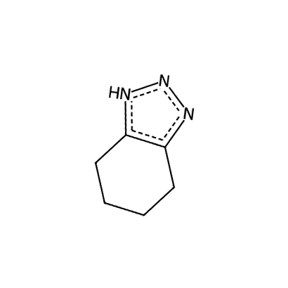 C1CCc2[nH]nnc2C1